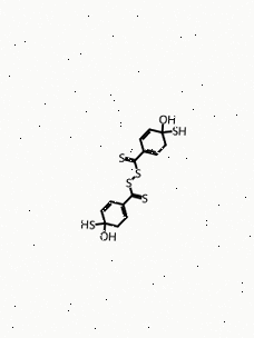 OC1(S)C=CC(C(=S)SSC(=S)C2=CCC(O)(S)C=C2)=CC1